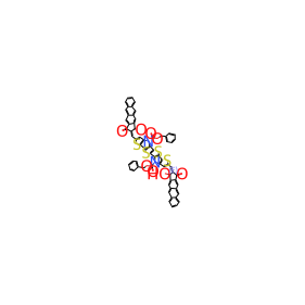 O=C1C(=Cc2cc3c(s2)c2sc4c(sc5c6sc(/C=C7/C(=O)c8cc9cc%10ccccc%10cc9cc8C7O)cc6n(C(=O)OCc6ccccc6)c54)c2n3C(=O)OCc2ccccc2)C(=O)c2cc3cc4ccccc4cc3cc21